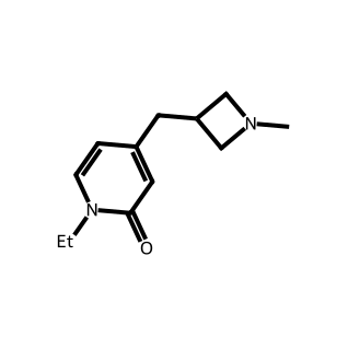 CCn1ccc(CC2CN(C)C2)cc1=O